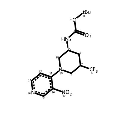 CC(C)(C)OC(=O)N[C@H]1CC(C(F)(F)F)CN(c2ccncc2[N+](=O)[O-])C1